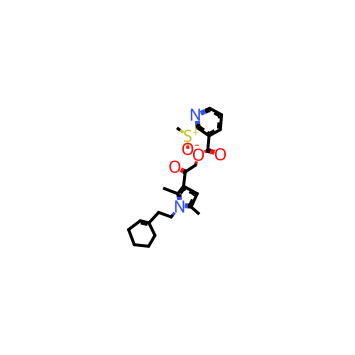 Cc1cc(C(=O)COC(=O)c2cccnc2[S+](C)[O-])c(C)n1CCC1=CCCCC1